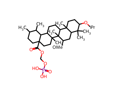 COC1CC2C(C)(C)C(OC(C)C)CCC2(C)C2CCC3C4C(C)C(C)CCC4(C(=O)OCOP(=O)(O)O)CCC3(C)C12C